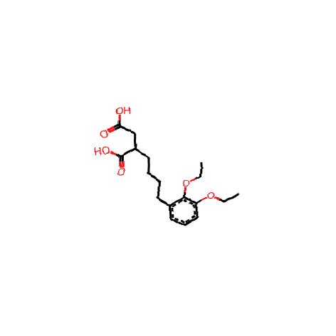 CCOc1cccc(CCCCC(CC(=O)O)C(=O)O)c1OCC